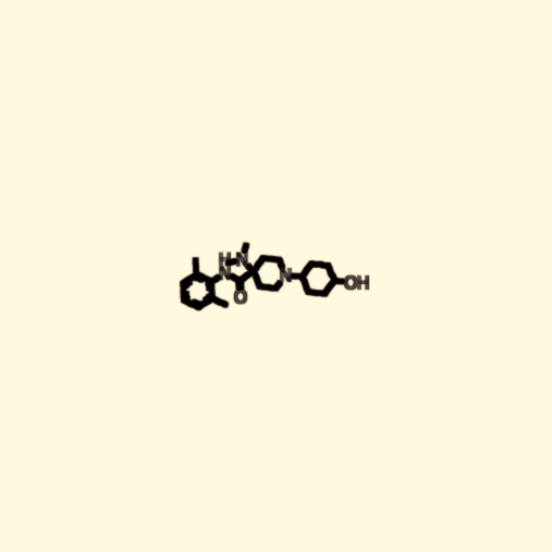 Cc1cccc(C)c1NC(=O)C1(N(C)C)CCN(C2CCC(O)CC2)CC1